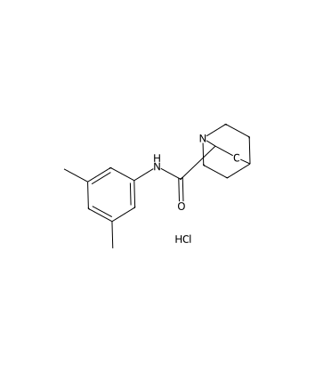 Cc1cc(C)cc(NC(=O)C2CC3CCN2CC3)c1.Cl